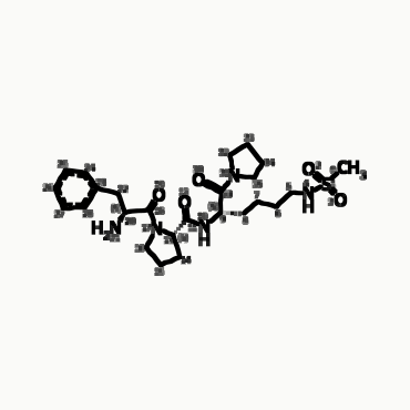 CS(=O)(=O)NCCCC[C@H](NC(=O)[C@@H]1CCCN1C(=O)[C@@H](N)Cc1ccccc1)C(=O)N1CCCC1